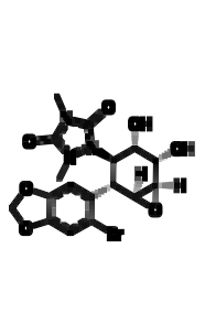 Cn1c(=O)n(C)n([C@H]2[C@H](O)[C@H](O)[C@H]3O[C@H]3[C@@H]2c2cc3c(cc2Br)OCO3)c1=O